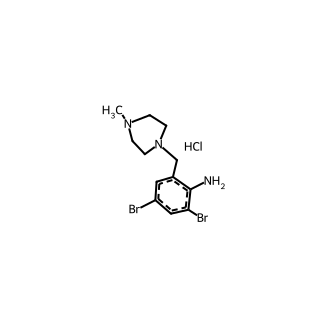 CN1CCN(Cc2cc(Br)cc(Br)c2N)CC1.Cl